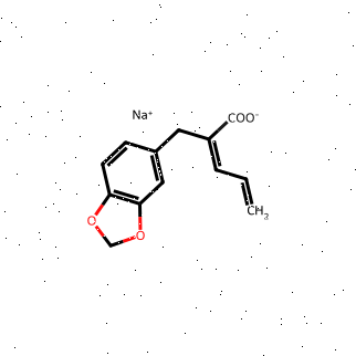 C=CC=C(Cc1ccc2c(c1)OCO2)C(=O)[O-].[Na+]